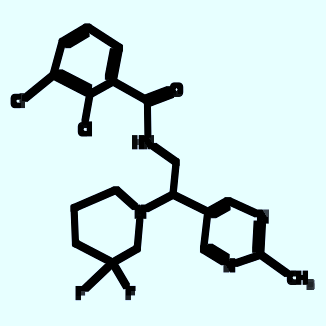 Cc1ncc(C(CNC(=O)c2cccc(Cl)c2Cl)N2CCCC(F)(F)C2)cn1